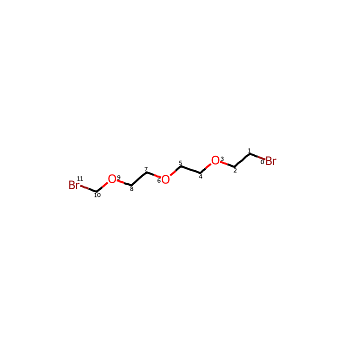 BrCCOCCOCCOCBr